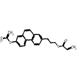 C=CC(=O)OCCCc1ccc2c(ccc3cc(OC(=C)C)ccc32)c1